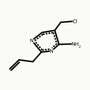 C=CCc1ncc(CCl)c(N)n1